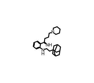 N=C(CCCN1CCCCC1)c1ccccc1NCCC12CC3CC(CC(C3)C1)C2